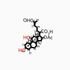 CC(=O)O[C@H]1C[C@@]2(C)[C@H](C[C@@H](O)[C@@H]3[C@@]4(C)CC[C@@H](O)[C@@H](C)C4CC[C@@]32C)C1=C(CCC=C(C)C=O)C(=O)O